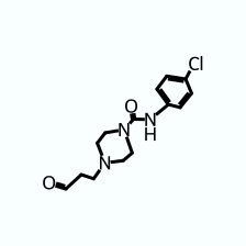 O=CCCN1CCN(C(=O)Nc2ccc(Cl)cc2)CC1